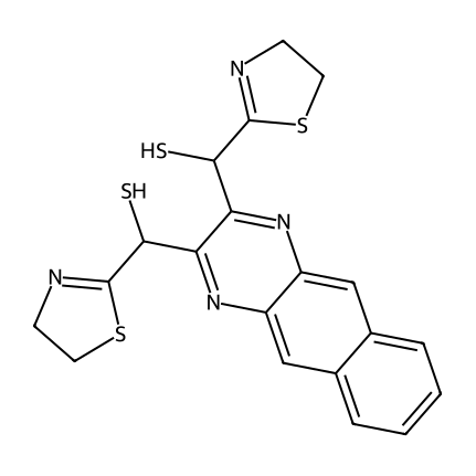 SC(C1=NCCS1)c1nc2cc3ccccc3cc2nc1C(S)C1=NCCS1